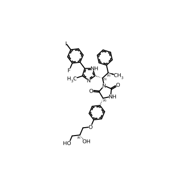 Cc1nc([C@H]([C@H](C)c2ccccc2)N2C(=O)N[C@H](c3ccc(OC[C@H](O)CO)cc3)C2=O)[nH]c1-c1ccc(I)cc1F